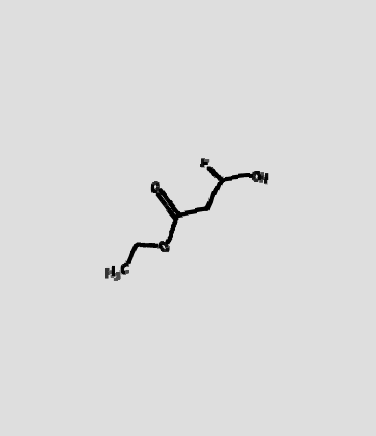 CCOC(=O)CC(O)F